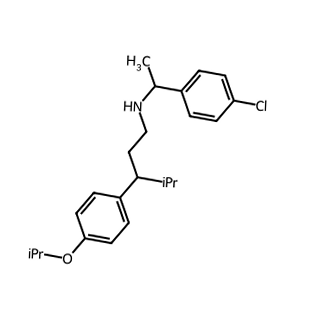 CC(C)Oc1ccc(C(CCNC(C)c2ccc(Cl)cc2)C(C)C)cc1